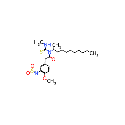 CCCCCCCCCC(C)N(C(=O)Cc1ccc(OC)c(N=S(=O)=O)c1)C(=S)NC